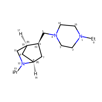 CCN1CCN(C[C@H]2C[C@@H]3C[C@H]2CN3C(C)C)CC1